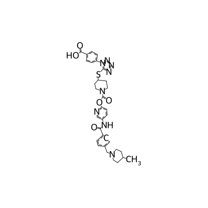 CC1CCN(Cc2ccc(C(=O)Nc3ccc(OC(=O)N4CCC(Sc5nnnn5-c5ccc(C(=O)O)cc5)CC4)nc3)cc2)CC1